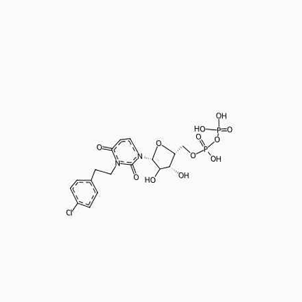 O=c1ccn([C@@H]2O[C@H](COP(=O)(O)OP(=O)(O)O)[C@H](O)C2O)c(=O)n1CCc1ccc(Cl)cc1